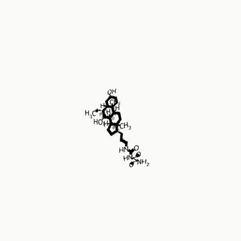 CC[C@H]1[C@@H](O)[C@@H]2[C@H](CC[C@]3(C)[C@@H](CCCNC(=O)NS(N)(=O)=O)CC[C@@H]23)[C@@]2(C)CC[C@@H](O)C[C@@H]12